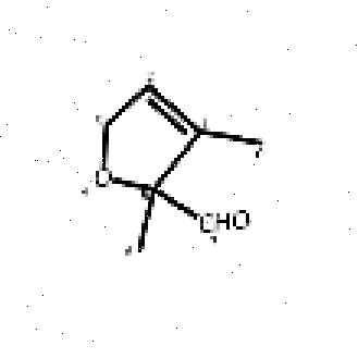 CC1=CCOC1(C)C=O